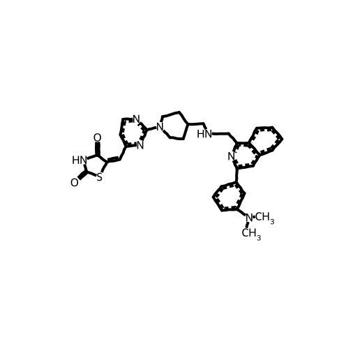 CN(C)c1cccc(-c2cc3ccccc3c(CNCC3CCN(c4nccc(C=C5SC(=O)NC5=O)n4)CC3)n2)c1